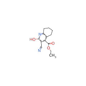 CCOC(=O)c1c(C#N)c(O)nc2c1CCCC2